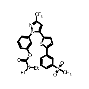 CCN(CC)C(=O)Oc1cccc(-n2nc(C(F)(F)F)cc2-c2ccc(-c3cccc(S(C)(=O)=O)c3)s2)c1